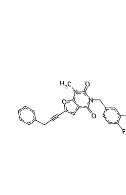 Cn1c(=O)n(Cc2ccc(F)c(F)c2)c(=O)c2cc(C#CCc3ccccc3)oc21